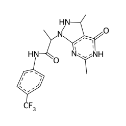 Cc1nc2c(c(=O)[nH]1)C(C)NN2C(C)C(=O)Nc1ccc(C(F)(F)F)cc1